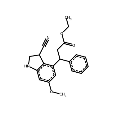 CCOC(=O)CC(c1ccccc1)c1cc(OC)cc2c1C(C#N)CN2